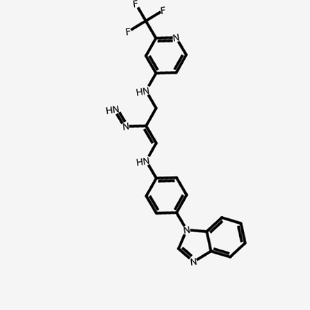 N=N/C(=C\Nc1ccc(-n2cnc3ccccc32)cc1)CNc1ccnc(C(F)(F)F)c1